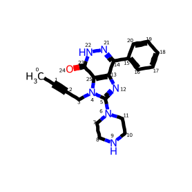 CC#CCn1c(N2CCNCC2)nc2c(-c3ccccc3)n[nH]c(=O)c21